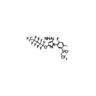 CC(=O)Nc1cc(OC(F)(F)C(F)(F)C(F)(F)C(F)(F)C(F)(F)F)nn1-c1cc([S+]([O-])CC(F)(F)F)c(C)cc1F